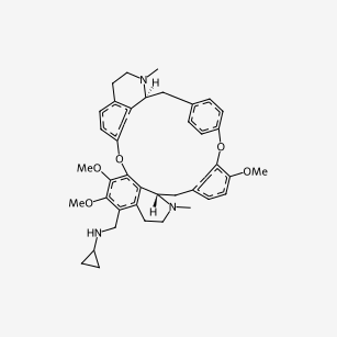 COc1ccc2cc1Oc1ccc(cc1)C[C@H]1c3cc(ccc3CCN1C)Oc1c(OC)c(OC)c(CNC3CC3)c3c1[C@H](C2)N(C)CC3